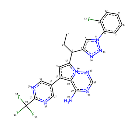 CCC(c1cn(-c2ccccc2F)nn1)c1cc(-c2cnc(C(F)(F)F)nc2)c2c(N)ncnn12